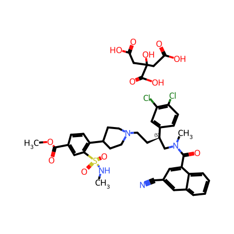 CNS(=O)(=O)c1cc(C(=O)OC)ccc1C1CCN(CC[C@H](CN(C)C(=O)c2cc(C#N)cc3ccccc23)c2ccc(Cl)c(Cl)c2)CC1.O=C(O)CC(O)(CC(=O)O)C(=O)O